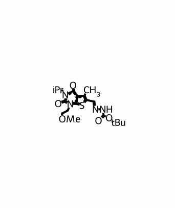 COCCn1c(=O)n(C(C)C)c(=O)c2c(C)c(/C=N/NC(=O)OC(C)(C)C)sc21